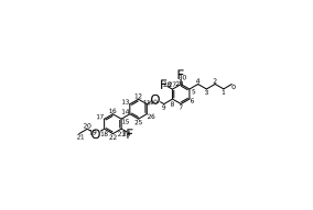 CCCCCc1ccc(COc2ccc(-c3ccc(OCC)cc3F)cc2)c(F)c1F